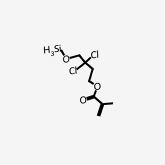 C=C(C)C(=O)OCCC(Cl)(Cl)CO[SiH3]